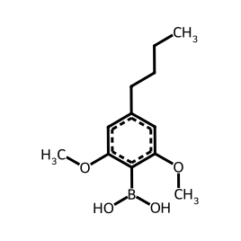 CCCCc1cc(OC)c(B(O)O)c(OC)c1